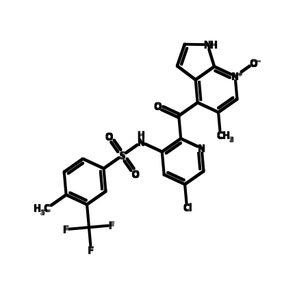 Cc1ccc(S(=O)(=O)Nc2cc(Cl)cnc2C(=O)c2c(C)c[n+]([O-])c3[nH]ccc23)cc1C(F)(F)F